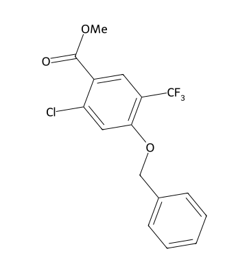 COC(=O)c1cc(C(F)(F)F)c(OCc2ccccc2)cc1Cl